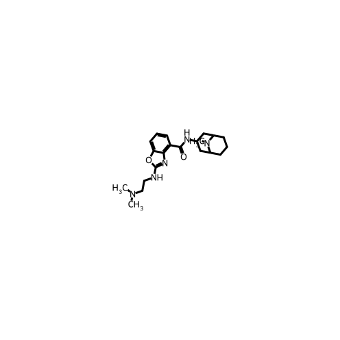 CN(C)CCNc1nc2c(C(=O)NC3CC4CCCC(C3)N4C)cccc2o1